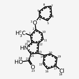 Cc1c(Oc2ccccc2)ccc2c(-c3ccc(Cl)cc3)c(C(=O)O)[nH]c12